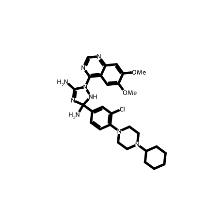 COc1cc2ncnc(N3NC(N)(c4ccc(N5CCN(C6CCCCC6)CC5)c(Cl)c4)N=C3N)c2cc1OC